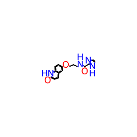 O=C(NCCCOc1ccc2[nH]c(=O)ccc2c1)c1ncc[nH]1